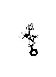 CC1(C)S[C@@H]2C(NC(=O)c3ccccc3)C(=O)N2C1c1nnn[nH]1